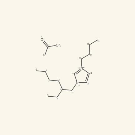 CC(=O)[O-].CCCCC(CC)Cn1cc[n+](CCCC)c1